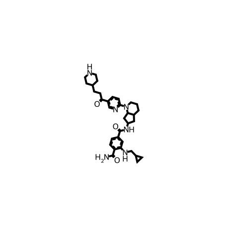 NC(=O)c1ccc(C(=O)NC2CC3CCCN(c4ccc(C(=O)CCC5CCNCC5)cn4)C3C2)cc1NCC1CC1